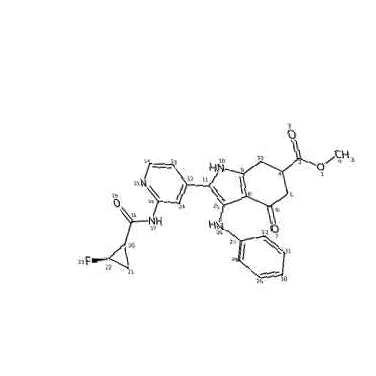 COC(=O)C1CC(=O)c2c([nH]c(-c3ccnc(NC(=O)C4C[C@H]4F)c3)c2Nc2ccccc2)C1